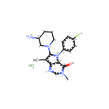 Cl.Cn1cnc2c(C#N)c(N3CCCC(N)C3)n(-c3ccc(F)cc3)c2c1=O